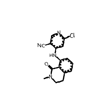 CN1CCc2cccc(Nc3cc(Cl)ncc3C#N)c2C1=O